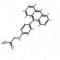 O=C(O)COc1ccc(-c2c3ccccc3cc3ccccc23)cc1